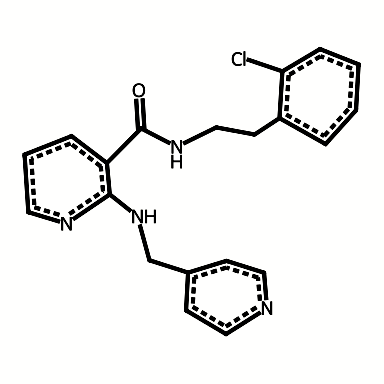 O=C(NCCc1ccccc1Cl)c1cccnc1NCc1ccncc1